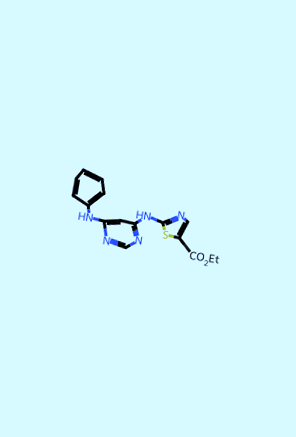 CCOC(=O)c1cnc(Nc2cc(Nc3ccccc3)ncn2)s1